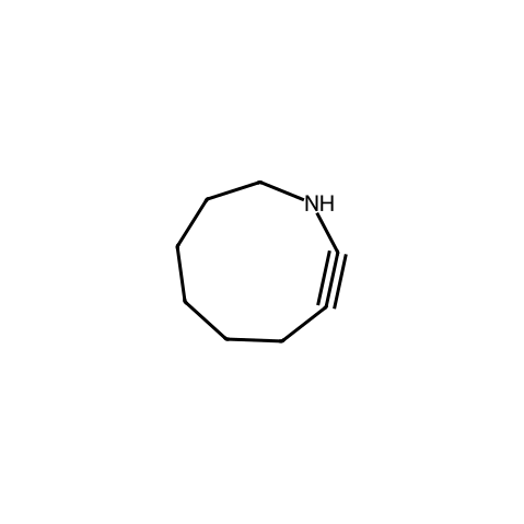 C1#CNCCCCCC1